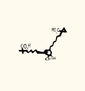 CC(C)(CCCCCCc1cc(CCCCCCC2(C(=O)O)CC2)cc(O)c1O)C(=O)O